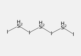 I[SiH2][I][SiH2][I][SiH2]I